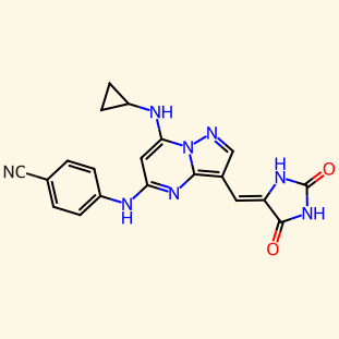 N#Cc1ccc(Nc2cc(NC3CC3)n3ncc(C=C4NC(=O)NC4=O)c3n2)cc1